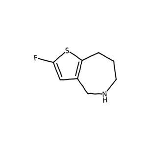 Fc1cc2c(s1)CCCNC2